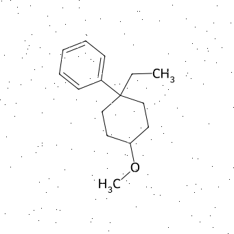 CCC1(c2ccccc2)CCC(OC)CC1